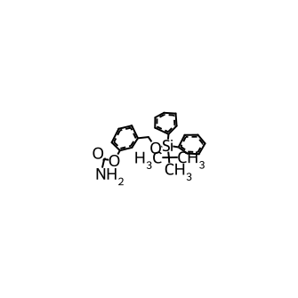 CC(C)(C)[Si](OCc1cccc(OC(N)=O)c1)(c1ccccc1)c1ccccc1